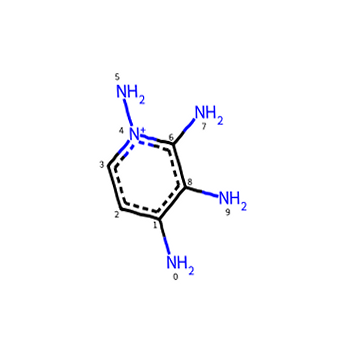 Nc1cc[n+](N)c(N)c1N